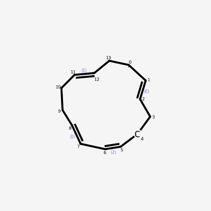 [CH]1/C=C/CC/C=C\C=C\CC/C=C/C1